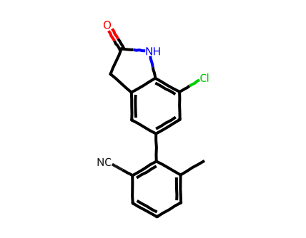 Cc1cccc(C#N)c1-c1cc(Cl)c2c(c1)CC(=O)N2